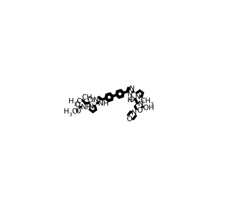 COC(=O)N[C@H](C(=O)N1CCC[C@H]1c1ncc(-c2ccc(-c3ccc(-c4cnc([C@@H]5CCCN5C(=O)[C@H](CCN5CCOCC5)N(C)C(=O)O)[nH]4)cc3)cc2)[nH]1)C(C)C